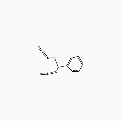 [N-]=[N+]=NCC(N=[N+]=[N-])c1ccccc1